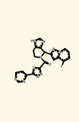 O=C(c1nnc(-c2ccncn2)o1)N1CCc2[nH]cnc2C1c1cc2c(F)cccn2n1